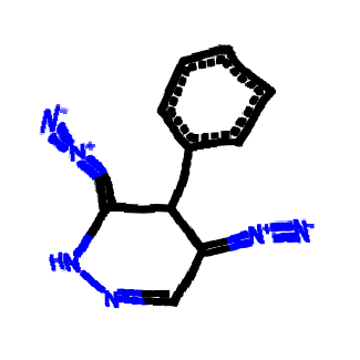 [N-]=[N+]=C1C=NNC(=[N+]=[N-])C1c1ccccc1